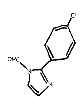 O=Cn1ccnc1-c1ccc(Cl)cc1